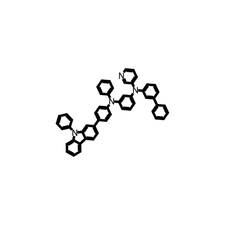 c1ccc(-c2cccc(N(c3cccnc3)c3cccc(N(c4ccccc4)c4ccc(-c5ccc6c7ccccc7n(-c7ccccc7)c6c5)cc4)c3)c2)cc1